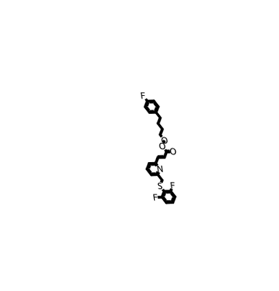 O=C(C=Cc1cccc(CSc2c(F)cccc2F)n1)OOCCCCc1ccc(F)cc1